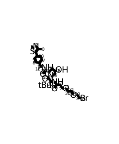 Cc1ncsc1-c1ccc([C@H](C)NC(=O)[C@@H]2C[C@@H](O)CN2C(=O)[C@@H](NC(=O)CCOCCOCCBr)C(C)(C)C)cc1